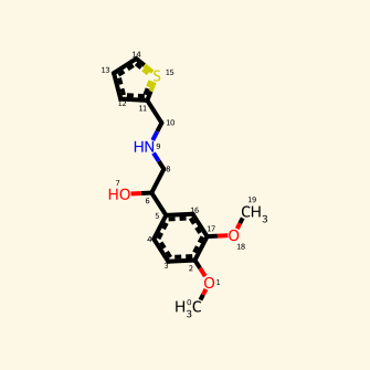 COc1ccc(C(O)CNCc2cccs2)cc1OC